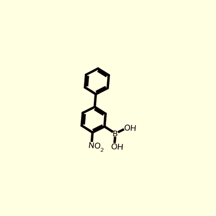 O=[N+]([O-])c1ccc(-c2ccccc2)cc1B(O)O